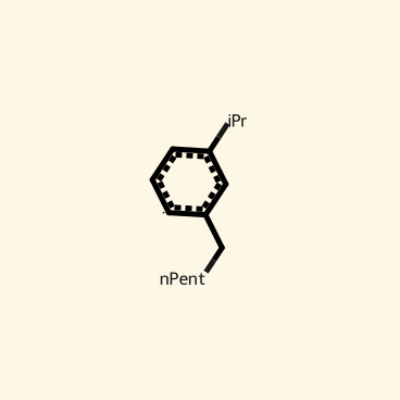 CCCCCCc1[c]ccc(C(C)C)c1